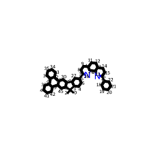 CC1(C)c2ccc(-c3ccc4ccc5ccc(-c6ccccc6)nc5c4n3)cc2-c2cc3c4ccccc4c4ccccc4c3cc21